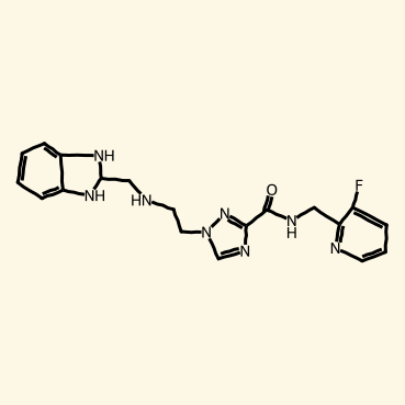 O=C(NCc1ncccc1F)c1ncn(CCNCC2Nc3ccccc3N2)n1